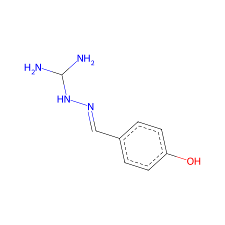 NC(N)N/N=C/c1ccc(O)cc1